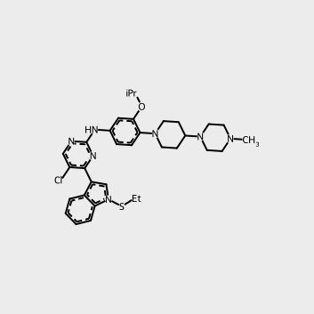 CCSn1cc(-c2nc(Nc3ccc(N4CCC(N5CCN(C)CC5)CC4)c(OC(C)C)c3)ncc2Cl)c2ccccc21